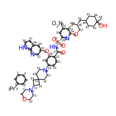 CC(C)c1ccccc1[C@H]1COCCN1C1CC2(CCN(c3ccc(C(=O)NS(=O)(=O)c4cc([N+](=O)[O-])c5c(n4)OC[C@H](CC4CCC(C)(O)CC4)S5)c(Oc4cnc5[nH]ccc5c4)c3)CC2)C1